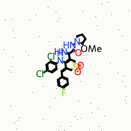 COC1CCCN1NC(=O)C(=N)C1=C(Nc2ccc(Cl)cc2Cl)/C(=C/c2ccc(F)cc2)CS(=O)(=O)C1